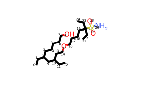 CCC(CCCCCO)CC(CC)CCOCCCCC(CC)(CC)S(N)(=O)=O